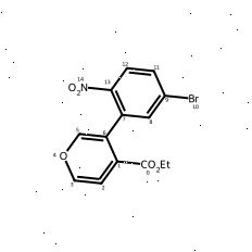 CCOC(=O)C1=C=COC=C1c1cc(Br)ccc1[N+](=O)[O-]